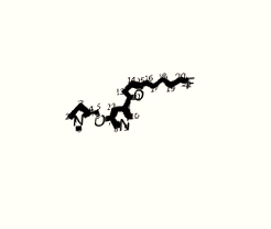 CN1CC[C@H]1COc1cncc(C2CC=C(CCCCCF)O2)c1